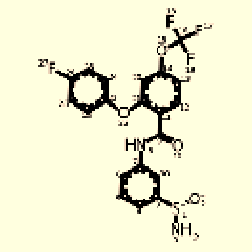 N[S+]([O-])c1cccc(NC(=O)c2ccc(OC(F)(F)F)cc2Oc2ccc(F)cc2)c1